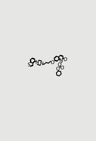 O=C(OCn1c(=O)ccc2ccc(OCCCCN3CCN(c4cccc5sccc45)CC3)cc21)OC1CCCCC1